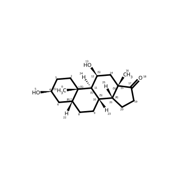 C[C@]12CC[C@H](O)C[C@H]1CC[C@@H]1[C@@H]2[C@@H](O)C[C@]2(C)C(=O)CC[C@H]12